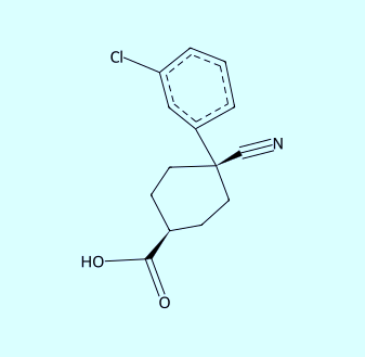 N#C[C@]1(c2cccc(Cl)c2)CC[C@H](C(=O)O)CC1